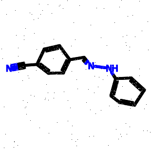 N#Cc1ccc(C=NNc2ccccc2)cc1